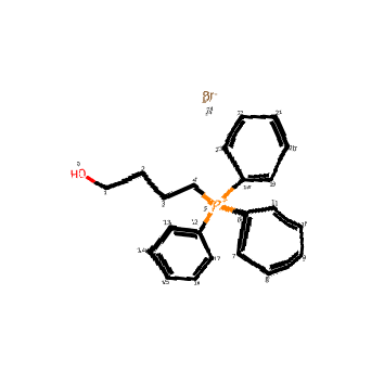 OCCCC[P+](c1ccccc1)(c1ccccc1)c1ccccc1.[Br-]